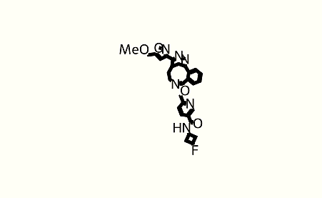 COCc1cc(C2=NN=C3CC2CC/N=C(/OCc2ccc(C(=O)NC4CC(F)C4)cn2)c2ccccc23)no1